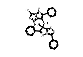 CC(C)c1nnc2c(NC3(N)C(c4ccccc4)=Nn4c(-c5ccccc5)nnc43)c(-c3ccccc3)[nH]n12